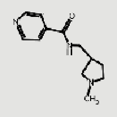 CN1CCC(CNC(=O)c2[c]cncc2)C1